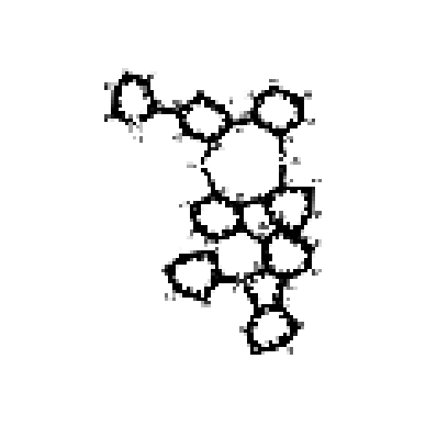 c1ccc(-n2c3ccccc3c3cccc(-c4cccc5c4-c4ccccc4Sc4ccccc4-c4ccc(-c6ccccn6)cc4S5)c32)cc1